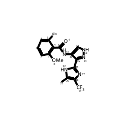 COc1cccc(F)c1C(=O)Nc1c[nH]nc1-c1nc(C(F)(F)F)c(C)[nH]1